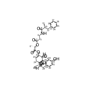 C[C@H](OC(=O)CCNC(=O)[C@@H](C)Cc1ccccc1)C(=O)OC1=CC[C@@]2(O)[C@H]3Cc4ccc(O)c5c4[C@@]2(CCN3C)[C@H]1O5